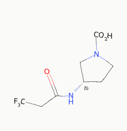 O=C(CC(F)(F)F)N[C@H]1CCN(C(=O)O)C1